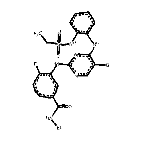 CCNC(=O)c1ccc(F)c(Nc2ncc(Cl)c(Nc3ccccc3NS(=O)(=O)CC(F)(F)F)n2)c1